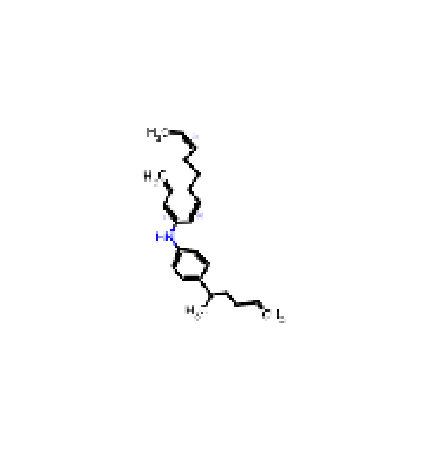 C=C/C=C(\C=C/CCC/C=C\C)Nc1ccc(C(C)CCC=C)cc1